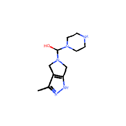 Cc1n[nH]c2c1CN(C(O)N1CCNCC1)C2